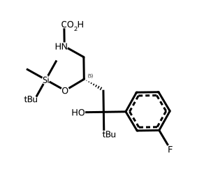 CC(C)(C)C(O)(C[C@@H](CNC(=O)O)O[Si](C)(C)C(C)(C)C)c1cccc(F)c1